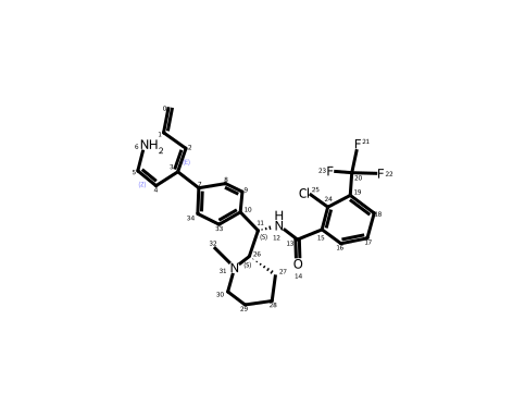 C=C/C=C(\C=C/N)c1ccc([C@H](NC(=O)c2cccc(C(F)(F)F)c2Cl)[C@@H]2CCCCN2C)cc1